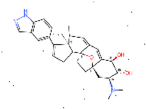 CC1C=C2C=C3[C@@H](O)[C@H](O)[C@@H](N(C)C)C[C@]34CC[C@]2(O4)C2CC=C(c3ccc4[nH]ncc4c3)[C@@]12C